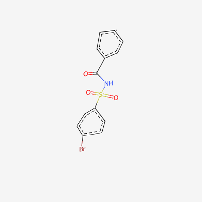 O=C(NS(=O)(=O)c1ccc(Br)cc1)c1cc[c]cc1